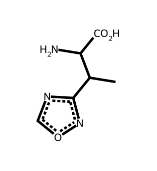 CC(c1ncon1)C(N)C(=O)O